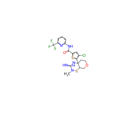 CN1SC2COCCC2(c2sc(C(=O)Nc3cccc(C(F)(F)F)n3)cc2Cl)NC1=N